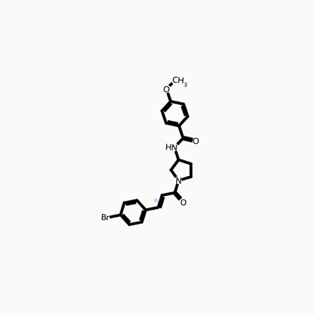 COc1ccc(C(=O)NC2CCN(C(=O)/C=C/c3ccc(Br)cc3)C2)cc1